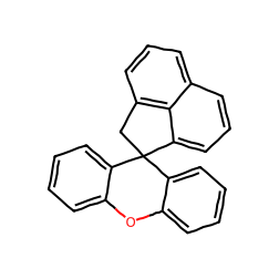 c1ccc2c(c1)Oc1ccccc1C21Cc2cccc3cccc1c23